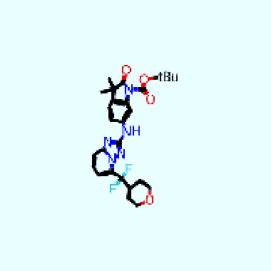 CC(C)(C)OC(=O)N1C(=O)C(C)(C)c2ccc(Nc3nc4cccc(C(F)(F)C5CCOCC5)n4n3)cc21